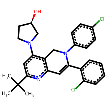 CC(C)(C)c1cc(N2CC[C@@H](O)C2)c2c(n1)C=C(c1ccccc1Cl)N(c1ccc(Cl)cc1)C2